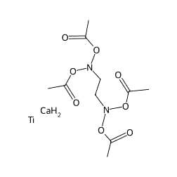 CC(=O)ON(CCN(OC(C)=O)OC(C)=O)OC(C)=O.[CaH2].[Ti]